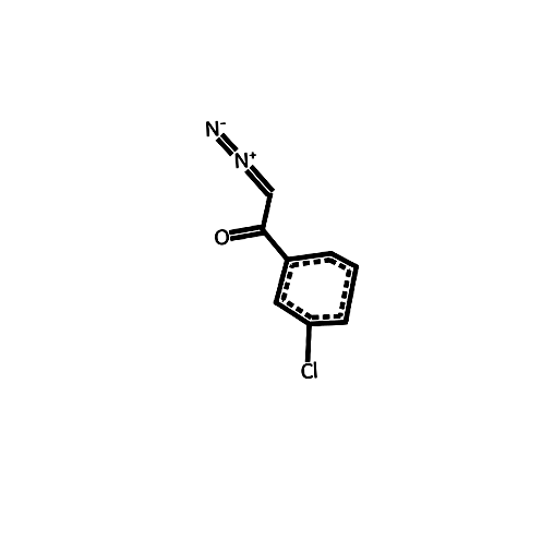 [N-]=[N+]=CC(=O)c1cccc(Cl)c1